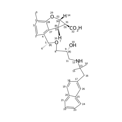 Cc1ccc([C@@H](C)OC[C@H](O)CNC(C)(C)Cc2ccc3ccccc3c2)c2c1O[C@@H]1[C@@H](C(=O)O)[C@H]21